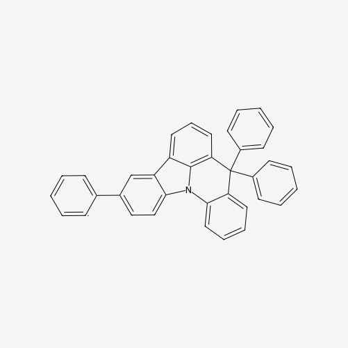 [c]1ccccc1-c1ccc2c(c1)c1cccc3c1n2-c1ccccc1C3(c1ccccc1)c1ccccc1